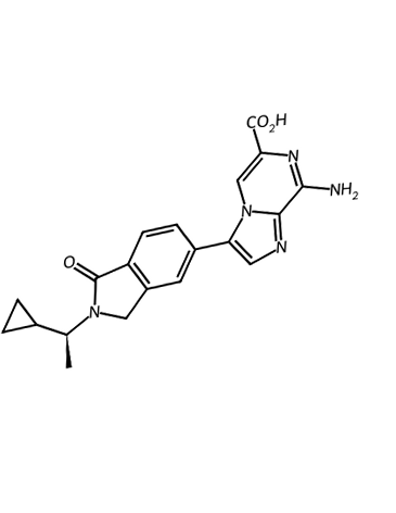 C[C@@H](C1CC1)N1Cc2cc(-c3cnc4c(N)nc(C(=O)O)cn34)ccc2C1=O